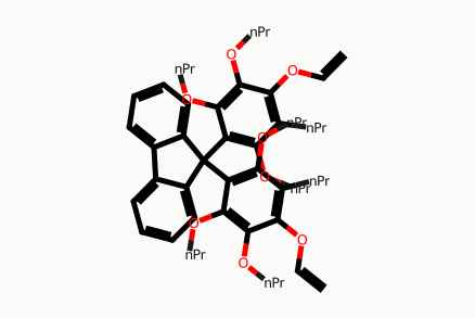 C=COc1c(CCC)c(OCCC)c(C2(c3c(OCCC)c(CCC)c(OC=C)c(OCCC)c3OCCC)c3ccccc3-c3ccccc32)c(OCCC)c1OCCC